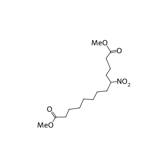 COC(=O)CCCCCCCC(CCCC(=O)OC)[N+](=O)[O-]